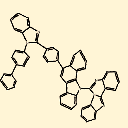 c1ccc(-c2ccc(-n3c(-c4ccc(-c5cc6c7ccccc7n(-c7nc8ccccc8c8nc9ccccc9n78)c6c6ccccc56)cc4)nc4ccccc43)cc2)cc1